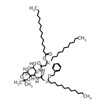 CCCCCCCCCCCCCC(=O)O[C@H](CCCCCCCCCCC)CC(=O)N[C@H]1C(O)O[C@@H]2COC(C)(C)O[C@H]2[C@@H]1NC(=O)C[C@@H](CCCCCCCCCCC)OCc1ccccc1